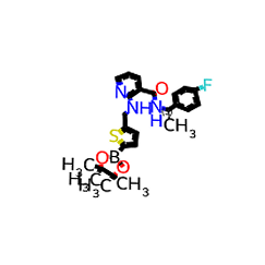 C[C@H](NC(=O)c1cccnc1NCc1ccc(B2OC(C)(C)C(C)(C)O2)s1)c1ccc(F)cc1